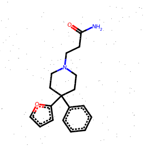 NC(=O)CCN1CCC(c2ccccc2)(c2ccco2)CC1